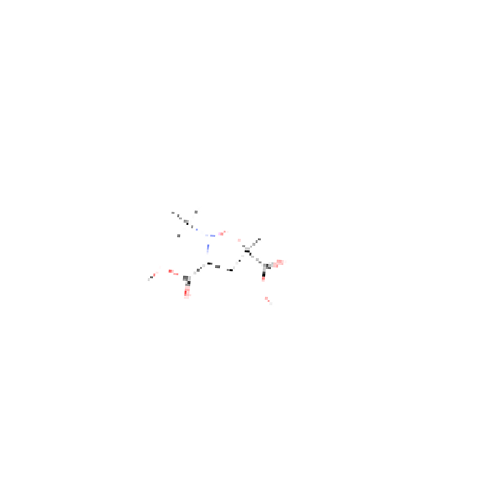 COC(=O)C1CC(C)(C(=O)OC)ON1C(C)(C)C